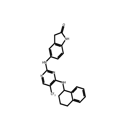 O=C1Cc2cc(Nc3ncc(C(F)(F)F)c(NC4CCCc5ccccc54)n3)ccc2N1